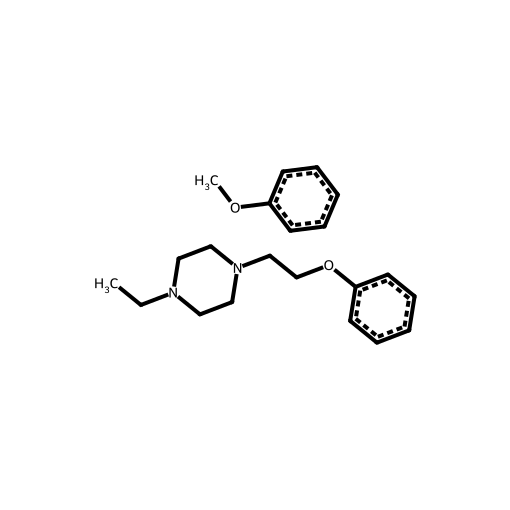 CCN1CCN(CCOc2ccccc2)CC1.COc1ccccc1